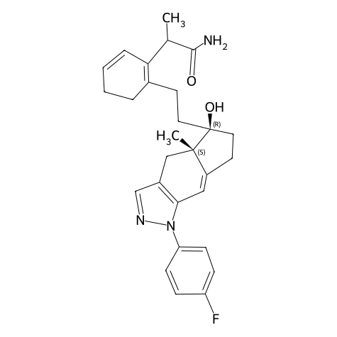 CC(C(N)=O)C1=C(CC[C@]2(O)CCC3=Cc4c(cnn4-c4ccc(F)cc4)C[C@@]32C)CCC=C1